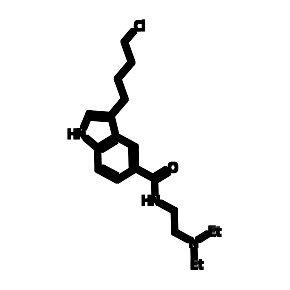 CCN(CC)CCNC(=O)c1ccc2[nH]cc(CCCCCl)c2c1